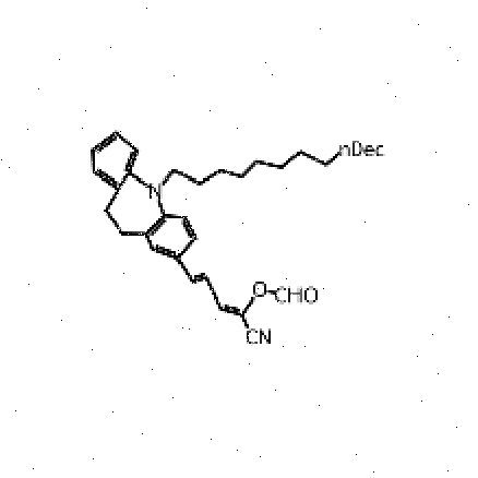 CCCCCCCCCCCCCCCCCCN1c2ccccc2CCc2cc(/C=C/C=C(/C#N)OC=O)ccc21